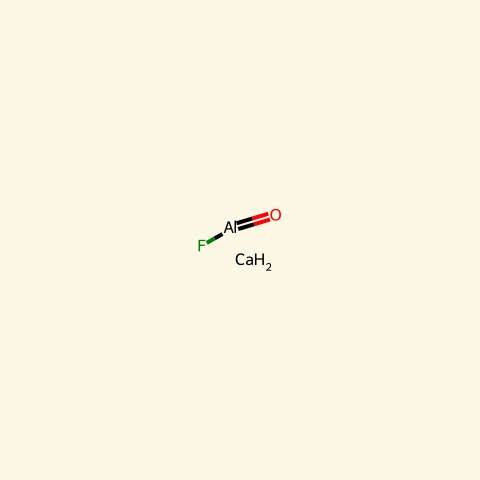 [CaH2].[O]=[Al][F]